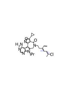 C=C/C(=C\C=C(/C)Cl)CCN1Cc2c(c3c(N)ncnc3n2C(C)C)-c2noc(C3CC3)c2C1=O